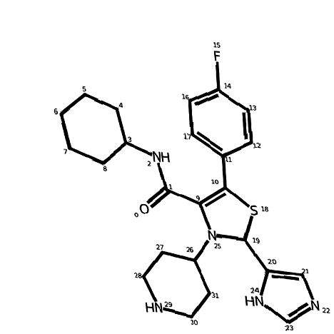 O=C(NC1CCCCC1)C1=C(c2ccc(F)cc2)SC(c2cnc[nH]2)N1C1CCNCC1